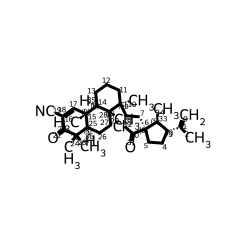 C=C(C)[C@@H]1CC[C@@](CC[C@]2(C)CCC[C@@H]3[C@@]4(C)C=C(C#N)C(=O)C(C)(C)[C@@H]4CC[C@]32C)(C(=O)Cl)[C@H]1C